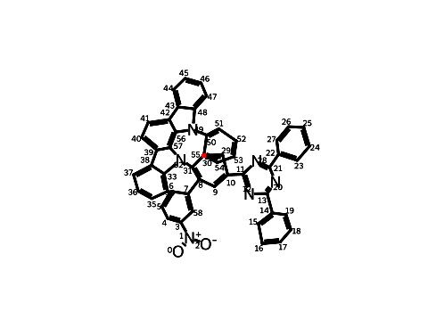 O=[N+]([O-])c1cccc(-c2cc(-c3nc(-c4ccccc4)nc(-c4ccccc4)n3)ccc2-n2c3ccccc3c3ccc4c5ccccc5n(-c5ccccc5)c4c32)c1